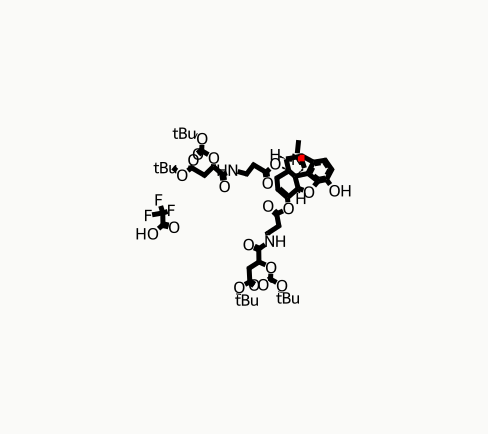 CN1CC[C@]23c4c5ccc(O)c4O[C@H]2C(OC(=O)CCNC(=O)C(CC(=O)OC(C)(C)C)OC(=O)OC(C)(C)C)=CC[C@@]3(OC(=O)CCNC(=O)C(CC(=O)OC(C)(C)C)OC(=O)OC(C)(C)C)[C@H]1C5.O=C(O)C(F)(F)F